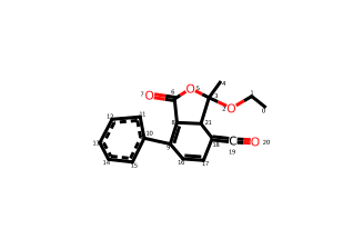 CCOC1(C)OC(=O)C2=C(c3ccccc3)C=CC(=C=O)C21